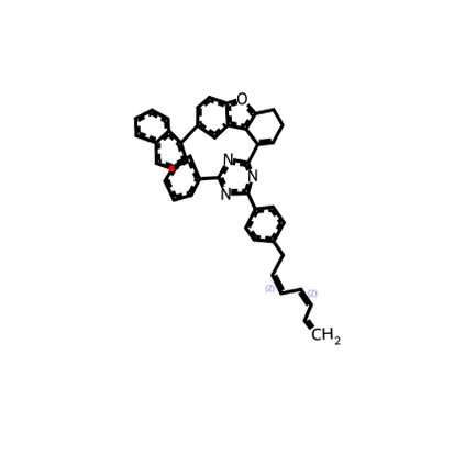 C=C/C=C\C=C/Cc1ccc(-c2nc(C3=CCCc4oc5ccc(-c6cccc7ccccc67)cc5c43)nc(-c3ccccc3)n2)cc1